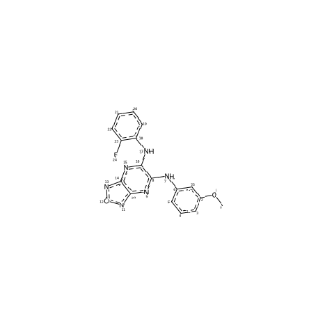 COc1cccc(Nc2nc3nonc3nc2Nc2ccccc2F)c1